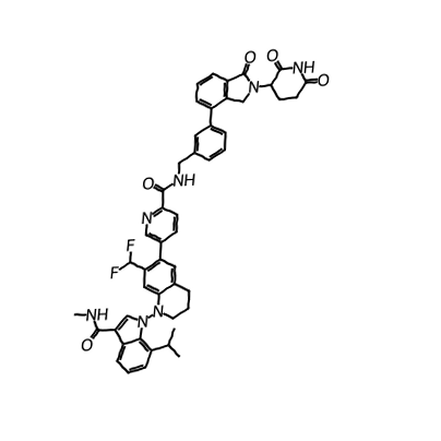 CNC(=O)c1cn(N2CCCc3cc(-c4ccc(C(=O)NCc5cccc(-c6cccc7c6CN(C6CCC(=O)NC6=O)C7=O)c5)nc4)c(C(F)F)cc32)c2c(C(C)C)cccc12